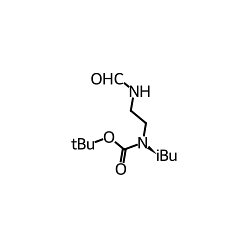 CC[C@H](C)N(CCNC=O)C(=O)OC(C)(C)C